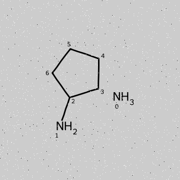 N.NC1CCCC1